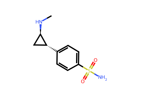 CN[C@@H]1C[C@H]1c1ccc(S(N)(=O)=O)cc1